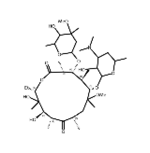 CC[C@@H]1OC(=O)[C@H](C)[C@H](OC2CC(C)(OC)C(O)C(C)O2)[C@@H](C)[C@H](OC2OC(C)CC(N(C)C)C2O)C(C)(OC)C[C@H](C)C(=O)[C@H](C)[C@@H](O)C1(C)O